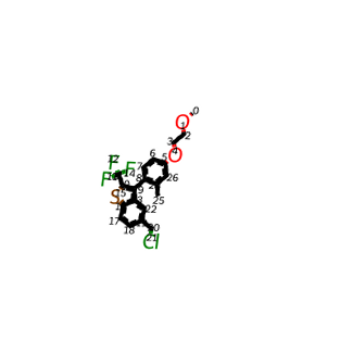 COCCOc1ccc(-c2c(C(F)(F)F)sc3ccc(CCl)cc23)c(C)c1